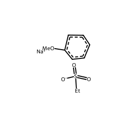 CCS(=O)(=O)[O-].COc1ccccc1.[Na+]